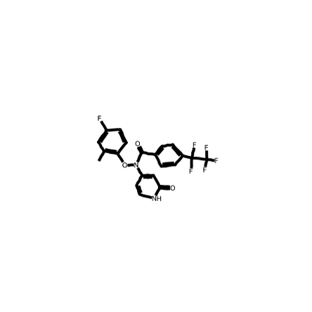 Cc1cc(F)ccc1ON(C(=O)c1ccc(C(F)(F)C(F)(F)F)cc1)c1cc[nH]c(=O)c1